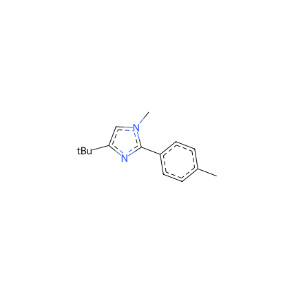 Cc1ccc(-c2nc(C(C)(C)C)cn2C)cc1